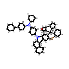 c1ccc(-c2ccc(N(c3ccccc3)c3ccc(-n4c5cc6c(cc5c5c7ccccc7ccc54)Sc4ccccc4C64c5ccccc5-c5ccccc54)cc3)cc2)cc1